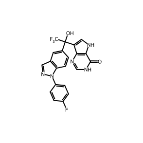 O=c1[nH]cnc2c(C(O)(c3ccc4c(cnn4-c4ccc(F)cc4)c3)C(F)(F)F)c[nH]c12